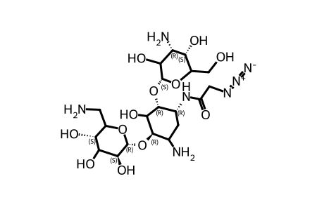 [N-]=[N+]=NCC(=O)N[C@@H]1CC(N)[C@@H](O[C@H]2OC(CN)[C@@H](O)C(O)[C@@H]2O)C(O)[C@@H]1O[C@H]1OC(CO)[C@@H](O)[C@@H](N)C1O